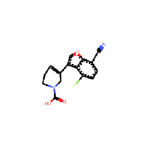 N#Cc1ccc(F)c2c(C3=CCCN(C(=O)O)C3)coc12